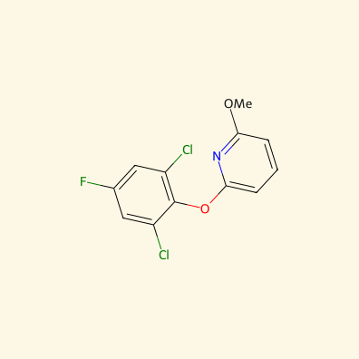 COc1cccc(Oc2c(Cl)cc(F)cc2Cl)n1